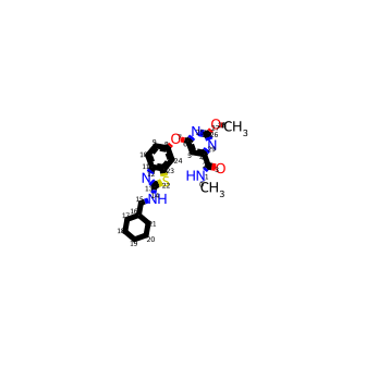 CNC(=O)c1cc(Oc2ccc3nc(NCC4CCCCC4)sc3c2)nc(OC)n1